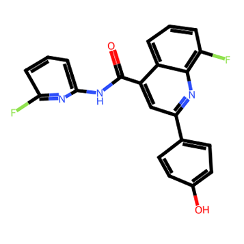 O=C(Nc1cccc(F)n1)c1cc(-c2ccc(O)cc2)nc2c(F)cccc12